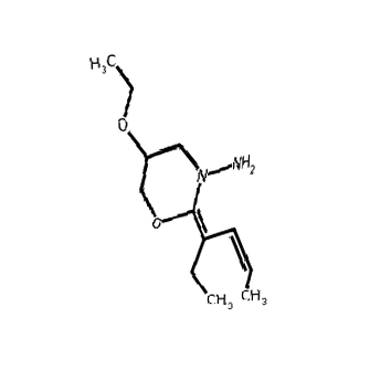 C/C=C\C(CC)=C1\OCC(OCC)CN1N